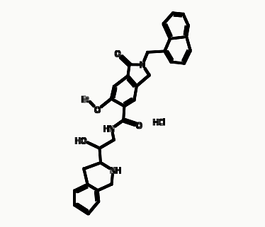 CCOc1cc2c(cc1C(=O)NCC(O)C1Cc3ccccc3CN1)CN(Cc1cccc3ccccc13)C2=O.Cl